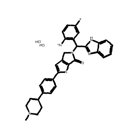 CN1CCC(c2ccc(-c3cc4c(s3)C(=O)N(C(c3nc5ccccc5[nH]3)c3cc(F)ccc3O)C4)cc2)CC1.Cl.Cl